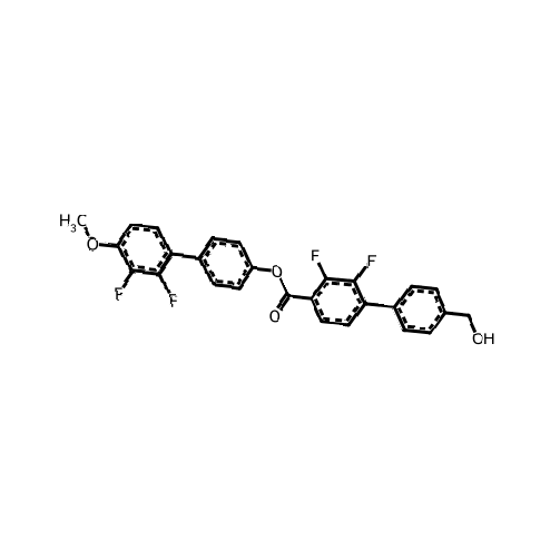 COc1ccc(-c2ccc(OC(=O)c3ccc(-c4ccc(CO)cc4)c(F)c3F)cc2)c(F)c1F